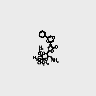 CO[C@@]1(C)O[C@H]([C@@H]2CN(C3=COC=C(C4=CC=CCC4)O3)C(=O)O2)[C@@H](CN)O[C@]1(C)OC